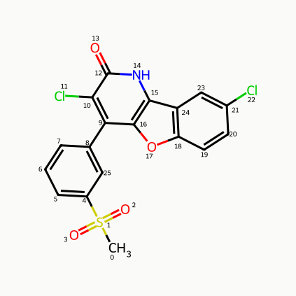 CS(=O)(=O)c1cccc(-c2c(Cl)c(=O)[nH]c3c2oc2ccc(Cl)cc23)c1